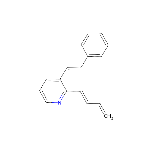 C=CC=Cc1ncccc1C=Cc1ccccc1